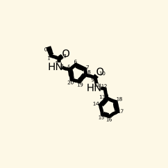 C=CC(=O)Nc1ccc(C(=O)NCc2ccccc2)cc1